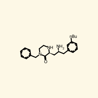 CCCCc1cccc(C[C@H](N)C[C@@H]2NCCN(Cc3ccccc3)C2=O)c1